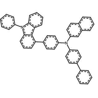 c1ccc(-c2ccc(N(c3ccc(-c4cccc5c4c4ccccc4n5-c4ccccc4)cc3)c3ccc4ccccc4c3)cc2)cc1